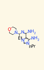 CCCn1cnc(/C(N)=N\C(CC)N2CCOCC2)c1N